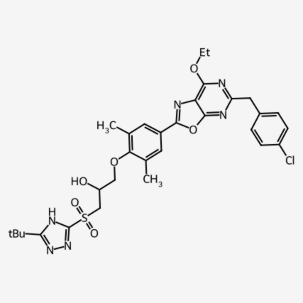 CCOc1nc(Cc2ccc(Cl)cc2)nc2oc(-c3cc(C)c(OCC(O)CS(=O)(=O)c4nnc(C(C)(C)C)[nH]4)c(C)c3)nc12